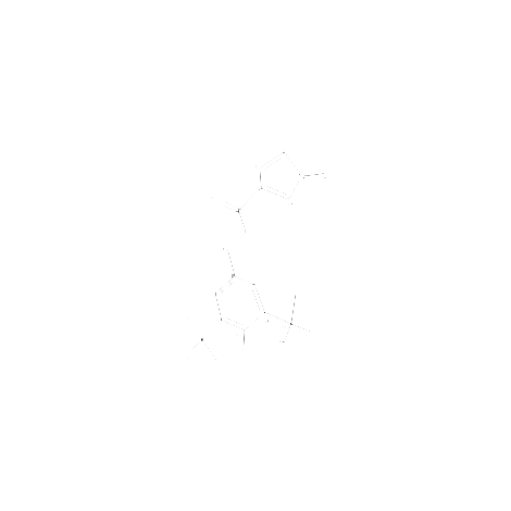 Cn1ccc(C(=O)CCc2cc(C(C)(C)C)c(O)c(C(C)(C)C)c2)c1